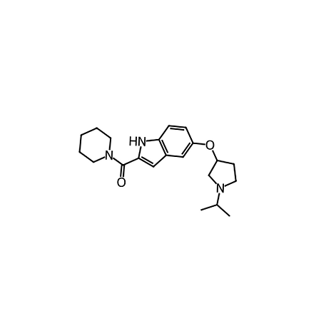 CC(C)N1CCC(Oc2ccc3[nH]c(C(=O)N4CCCCC4)cc3c2)C1